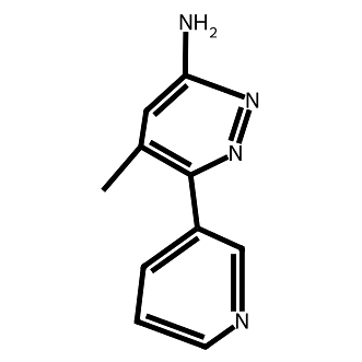 Cc1cc(N)nnc1-c1cccnc1